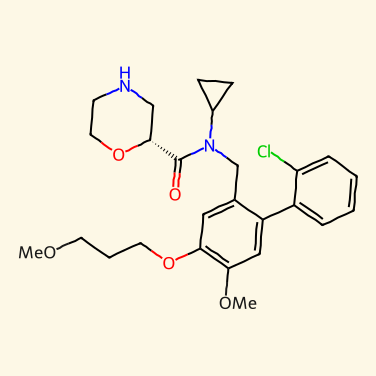 COCCCOc1cc(CN(C(=O)[C@H]2CNCCO2)C2CC2)c(-c2ccccc2Cl)cc1OC